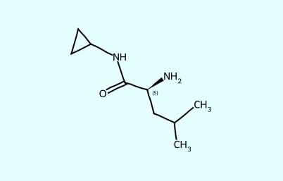 CC(C)C[C@H](N)C(=O)NC1CC1